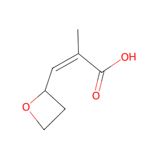 CC(=CC1CCO1)C(=O)O